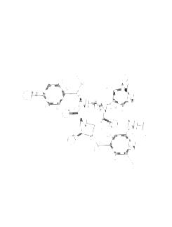 CCC(NC(=O)N1C(=O)[C@H](Cc2cc(C)nc(N)c2)[C@H]1C(=O)N(C)c1cnn(C)c1)c1ccc(Cl)cc1